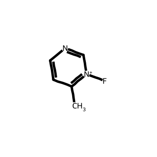 Cc1ccnc[n+]1F